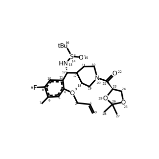 C=CCOc1cc(C)c(F)cc1[C@H](N[S+]([O-])C(C)(C)C)C1CCN(C(=O)[C@H]2COC(C)(C)O2)CC1